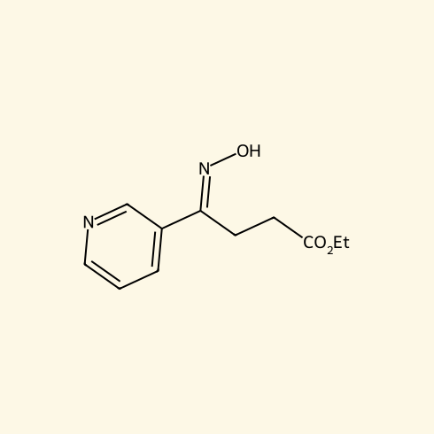 CCOC(=O)CCC(=NO)c1cccnc1